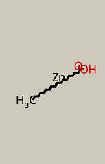 CCCCC=CC=CC=CCCCCCCCC(=O)O.[Zn]